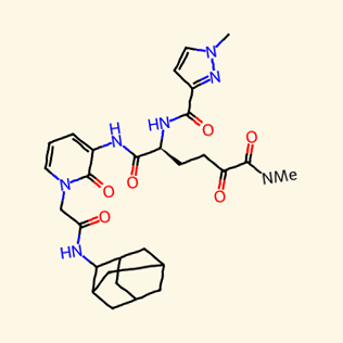 CNC(=O)C(=O)CC[C@H](NC(=O)c1ccn(C)n1)C(=O)Nc1cccn(CC(=O)NC2C3CC4CC(C3)CC2C4)c1=O